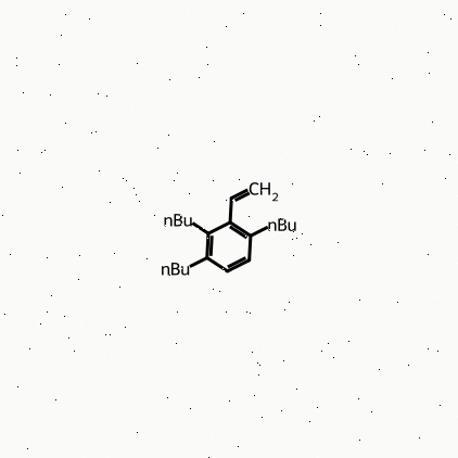 C=Cc1c(CCCC)ccc(CCCC)c1CCCC